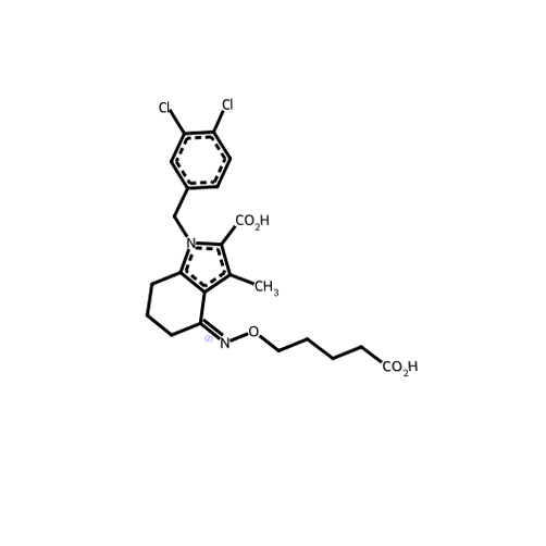 Cc1c2c(n(Cc3ccc(Cl)c(Cl)c3)c1C(=O)O)CCC/C2=N/OCCCCC(=O)O